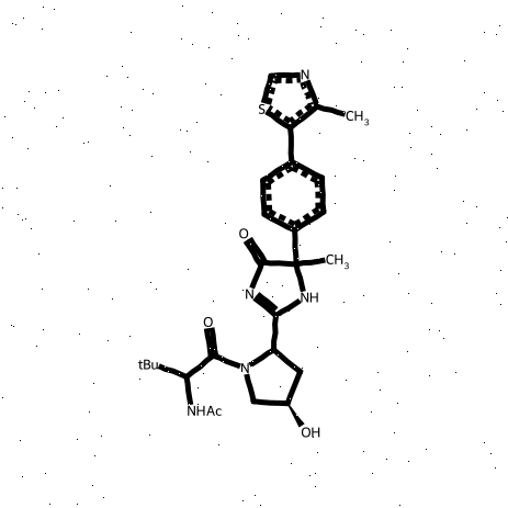 CC(=O)NC(C(=O)N1C[C@H](O)CC1C1=NC(=O)C(C)(c2ccc(-c3scnc3C)cc2)N1)C(C)(C)C